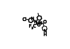 Cc1ccc(NC(=O)C2CCNCC2)c(N(C(=O)C(F)(F)F)c2ccc(Cl)cn2)c1